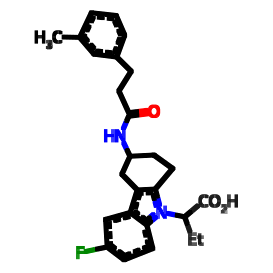 CCC(C(=O)O)n1c2c(c3cc(F)ccc31)CC(NC(=O)CCc1cccc(C)c1)CC2